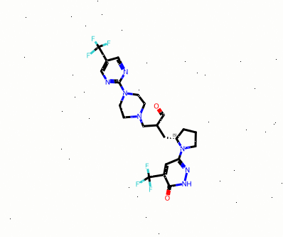 O=CC(C[C@@H]1CCCN1c1cc(C(F)(F)F)c(=O)[nH]n1)CN1CCN(c2ncc(C(F)(F)F)cn2)CC1